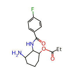 CCC(=O)OC1CCCC(N)C1NC(=O)c1ccc(F)cc1